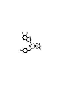 CC1(C)CC(Cc2ccc(F)cc2)N=C(c2cnc3c(F)c(F)ccc3c2)S1